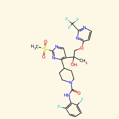 CC(O)(COc1ccnc(C(F)(F)F)n1)c1cnc(S(C)(=O)=O)nc1C1CCN(C(=O)Nc2c(F)cccc2F)CC1